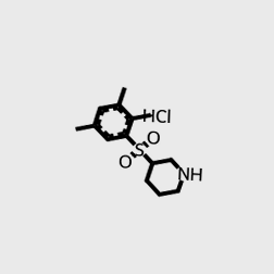 Cc1cc(C)c(C)c(S(=O)(=O)C2CCCNC2)c1.Cl